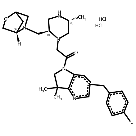 C[C@@H]1CN(CC(=O)N2CC(C)(C)c3ncc(Cc4ccc(F)cc4)cc32)[C@@H](CN2CC3C[C@H]2CO3)CN1.Cl.Cl